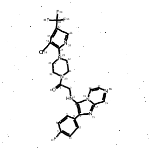 O=C(CNc1c(-c2ccc(F)cc2)nc2cnccn12)N1CCN(c2ncc(C(F)(F)F)cc2Cl)CC1